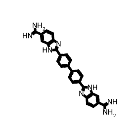 N=C(N)c1ccc2nc(-c3ccc(-c4ccc(-c5nc6ccc(C(=N)N)cc6[nH]5)cc4)cc3)[nH]c2c1